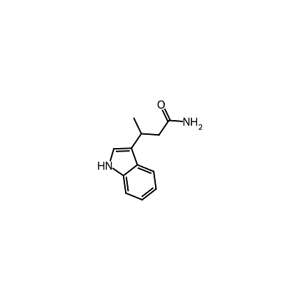 CC(CC(N)=O)c1c[nH]c2ccccc12